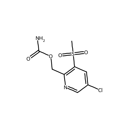 CS(=O)(=O)c1cc(Cl)cnc1COC(N)=O